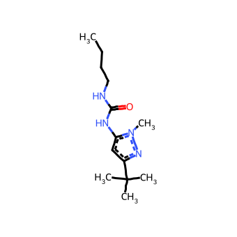 CCCCNC(=O)Nc1cc(C(C)(C)C)nn1C